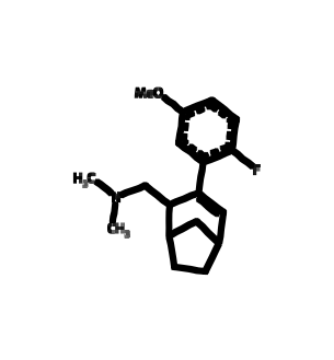 COc1ccc(F)c(C2=CC3CCC(C3)C2CN(C)C)c1